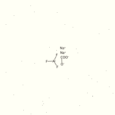 O=C([O-])[O-].[F][Al]([F])[F].[Na+].[Na+]